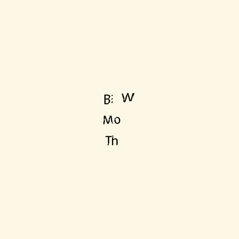 [B].[Mo].[Th].[W]